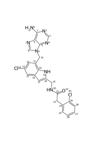 Nc1ncnc2c1ncn2Cc1cc(Cl)cc2cc(CNC(=O)Cc3ccccc3Cl)[nH]c12